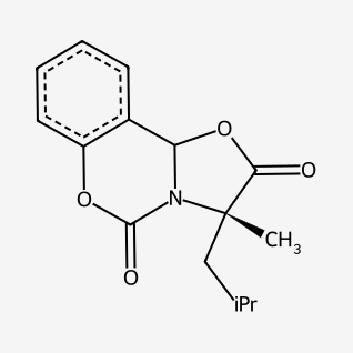 CC(C)C[C@@]1(C)C(=O)OC2c3ccccc3OC(=O)N21